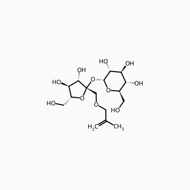 C=C(C)COC[C@@]1(O[C@H]2O[C@H](CO)[C@@H](O)[C@H](O)[C@H]2O)O[C@H](CO)[C@@H](O)[C@@H]1O